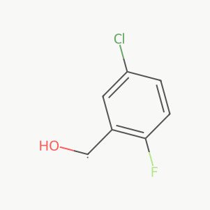 O[CH]c1cc(Cl)ccc1F